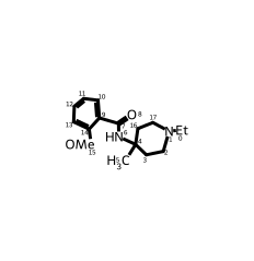 CCN1CCC(C)(NC(=O)c2ccccc2OC)CC1